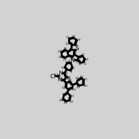 Clc1nc(-c2ccc(-n3c4ccccc4c4c5sc6ccccc6c5c5ccccc5c43)cc2)c2sc3c(-c4ccccc4)cc(-c4ccccc4)cc3c2n1